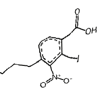 CCCCc1ccc(C(=O)O)c(I)c1[N+](=O)[O-]